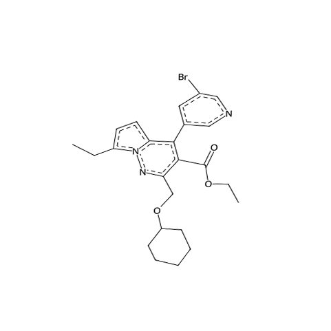 CCOC(=O)c1c(COC2CCCCC2)nn2c(CC)ccc2c1-c1cncc(Br)c1